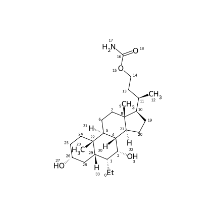 CC[C@H]1[C@@H](O)[C@@H]2[C@H](CC[C@]3(C)[C@@H]([C@H](C)CCOC(N)=O)CC[C@@H]23)[C@@]2(C)CC[C@@H](O)C[C@@H]12